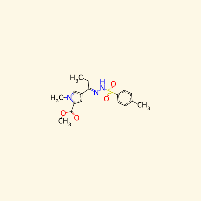 CC/C(=N\NS(=O)(=O)c1ccc(C)cc1)c1cc(C(=O)OC)n(C)c1